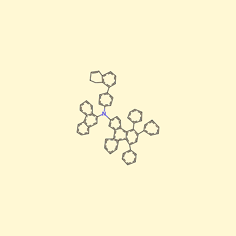 C1=Cc2cccc(-c3ccc(N(c4ccc5c(c4)c4ccccc4c4c(-c6ccccc6)cc(-c6ccccc6)c(-c6ccccc6)c54)c4cc5ccccc5c5ccccc45)cc3)c2CC1